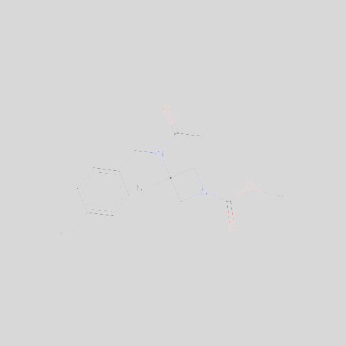 CC(C)(C)OC(=O)N1CC(C#N)(N(Cc2ccc(C(F)(F)F)cc2)C(=O)CCl)C1